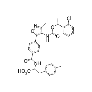 Cc1ccc(CC(NC(=O)c2ccc(-c3onc(C)c3NC(=O)OC(C)c3ccccc3Cl)cc2)C(=O)O)cc1